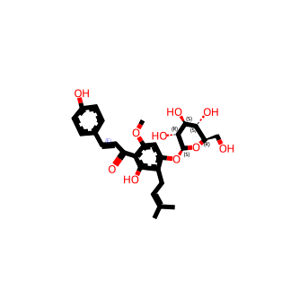 COc1cc(O[C@@H]2O[C@H](CO)[C@@H](O)[C@H](O)[C@H]2O)c(CC=C(C)C)c(O)c1C(=O)/C=C/c1ccc(O)cc1